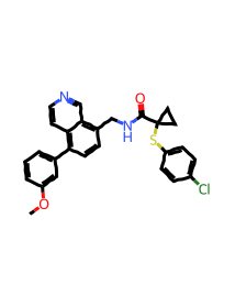 COc1cccc(-c2ccc(CNC(=O)C3(Sc4ccc(Cl)cc4)CC3)c3cnccc23)c1